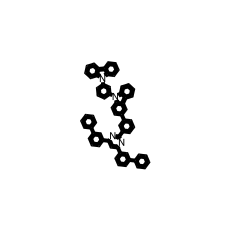 c1ccc(-c2cccc(-c3cc(-c4cccc(-c5ccccc5)c4)nc(-c4cccc(-c5ccc6c(c5)c5ccccc5n6-c5cccc(-n6c7ccccc7c7ccccc76)c5)c4)n3)c2)cc1